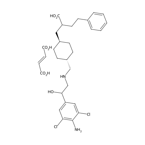 Nc1c(Cl)cc(C(O)CNC[C@H]2CC[C@H](CC(CCc3ccccc3)C(=O)O)CC2)cc1Cl.O=C(O)C=CC(=O)O